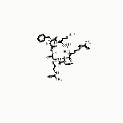 CC(C)C[C@H](NC(=O)[C@@H](N)CCCNC(=N)N)C(=O)N[C@@H](CCCNC(=N)N)C(=O)NCC(=O)N[C@@H](Cc1ccccc1)C(=O)N[C@@H](CCC(=O)O)C(=O)O